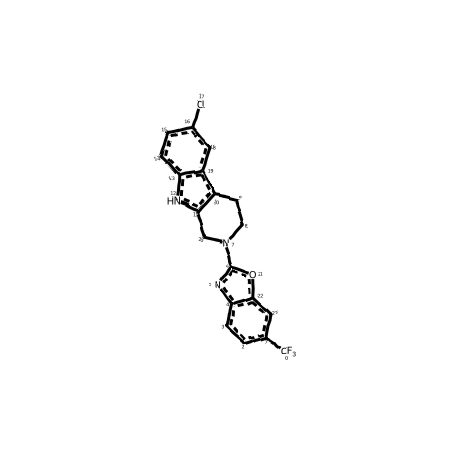 FC(F)(F)c1ccc2nc(N3CCc4c([nH]c5ccc(Cl)cc45)C3)oc2c1